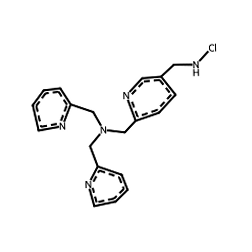 ClNCc1ccc(CN(Cc2ccccn2)Cc2ccccn2)nc1